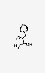 CC(O)[C](N)Cc1ccccc1